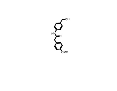 COc1ccc(CC(=O)Nc2ccc(CO)cc2)cc1